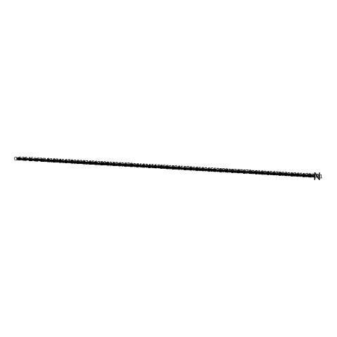 C#CC#CC#CC#CC#CC#CC#CC#CC#CC#CC#CC#CC#CC#CC#CC#CC#CC#CC#CC#CC#CC#CC#CC#CC#CC#CC#CC#CC#CC#CC#CC#CC#CC#CC#CC#CC#CC#CC#CC#CC#CC#CC#CC#CC#CC#CC#CC#CC#CC#CC#N